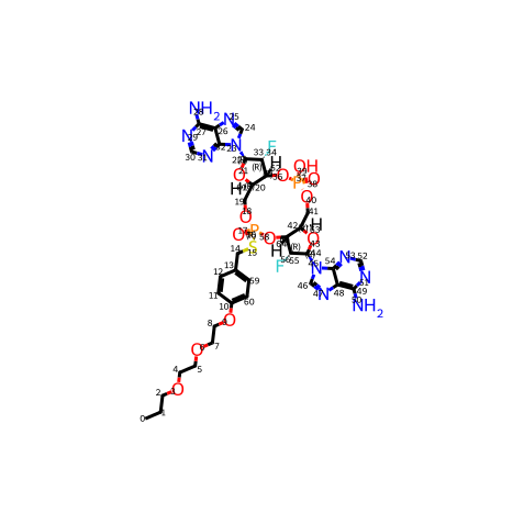 CCCOCCOCCOc1ccc(CS[P@]2(=O)OC[C@H]3O[C@@H](n4cnc5c(N)ncnc54)[C@H](F)[C@@H]3OP(=O)(O)OC[C@H]3O[C@@H](n4cnc5c(N)ncnc54)[C@H](F)[C@@H]3O2)cc1